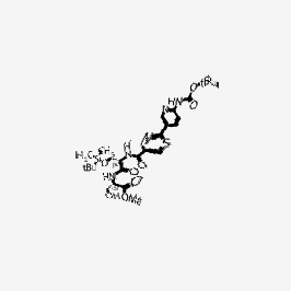 COC(=O)[C@H](CO)NC(=O)[C@H](CO[Si](C)(C)C(C)(C)C)NC(=O)c1csc(-c2ccc(NC(=O)OC(C)(C)C)nc2)n1